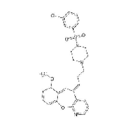 COC1C=CC=C2Oc3ncccc3C(=CCCN3CCN(S(=O)(=O)c4cccc(Cl)c4)CC3)C=C21